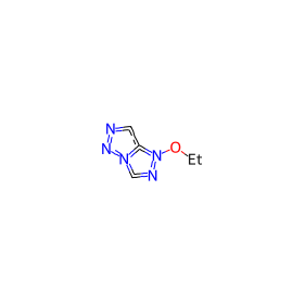 CCOn1ncn2nncc12